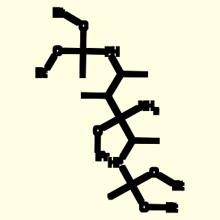 CCOC(C)(OCC)PC(C)C(C)C(N)(OC(C)C)C(C)PC(C)(OCC)OCC